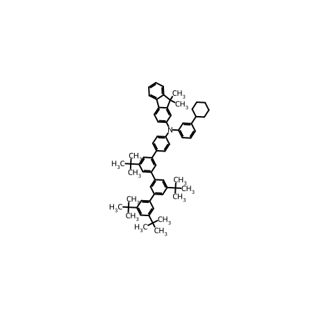 CC(C)(C)c1cc(-c2ccc(N(c3cccc(C4CCCCC4)c3)c3ccc4c(c3)C(C)(C)c3ccccc3-4)cc2)cc(-c2cc(-c3cc(C(C)(C)C)cc(C(C)(C)C)c3)cc(C(C)(C)C)c2)c1